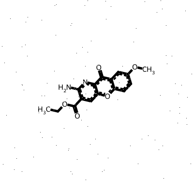 CCOC(=O)c1cc2oc3ccc(OC)cc3c(=O)c2nc1N